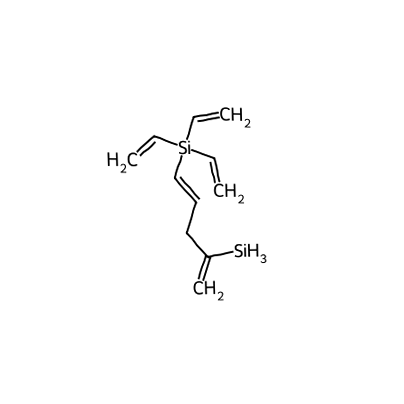 C=C[Si](C=C)(C=C)C=CCC(=C)[SiH3]